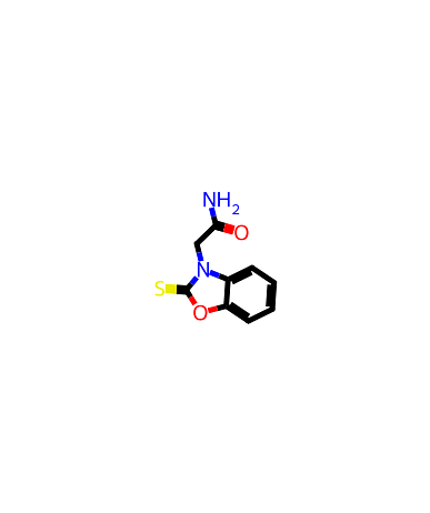 NC(=O)Cn1c(=S)oc2ccccc21